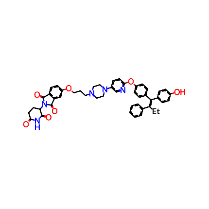 CCC(=C(c1ccc(O)cc1)c1ccc(Oc2ccc(N3CCN(CCCOc4ccc5c(c4)C(=O)N(C4CCC(=O)NC4=O)C5=O)CC3)cn2)cc1)c1ccccc1